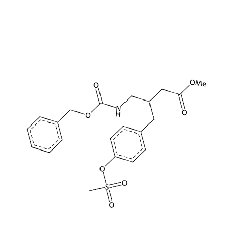 COC(=O)CC(CNC(=O)OCc1ccccc1)Cc1ccc(OS(C)(=O)=O)cc1